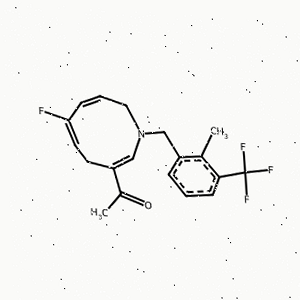 CC(=O)/C1=C/N(Cc2cccc(C(F)(F)F)c2C)C/C=C\C(F)=C/C1